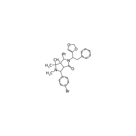 CC(C)C1C2C(C(=O)N1C(Cc1ccccc1)C1=COCO1)C(c1ccc(Br)cc1)N(C)C2(C)C